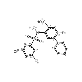 CN(c1cc(-c2ccccc2)c(F)cc1C(=O)O)S(=O)(=O)c1cc(Cl)cc(Cl)c1